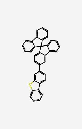 c1ccc2c(c1)-c1ccccc1C21c2ccccc2-c2cc(-c3ccc4c(c3)sc3ccccc34)ccc21